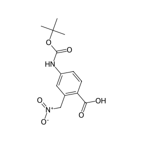 CC(C)(C)OC(=O)Nc1ccc(C(=O)O)c(C[N+](=O)[O-])c1